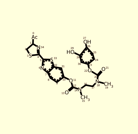 CC(=O)C1CSC(c2nc3ccc(OC(=O)N(C)CCN(C)C(=O)Oc4ccc(O)c(O)c4)cc3s2)=N1